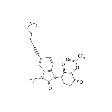 Cn1c(=O)n(C2CCC(=O)N(OC(=O)C(F)(F)F)C2=O)c2ccc(C#CCCCN)cc21